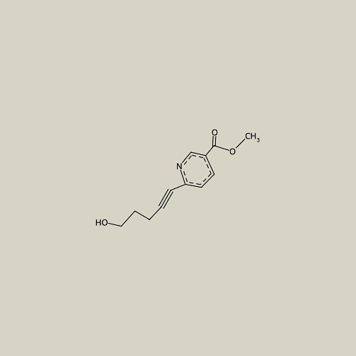 COC(=O)c1ccc(C#CCCCO)nc1